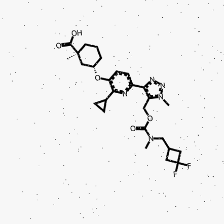 CN(CC1CC(F)(F)C1)C(=O)OCc1c(-c2ccc(O[C@H]3CCC[C@](C)(C(=O)O)C3)c(C3CC3)n2)nnn1C